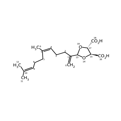 C=C(CCC=C(C)CCC=C(C)C)C1O[C@H](C(=O)O)[C@@H](C(=O)O)O1